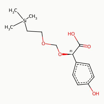 C[Si](C)(C)CCOCO[C@@H](C(=O)O)c1ccc(O)cc1